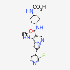 CC(C)Nc1c(C(=O)N[C@H]2CC[C@H](NC(=O)O)CC2)cnn2cc(-c3ccncc3F)cc12